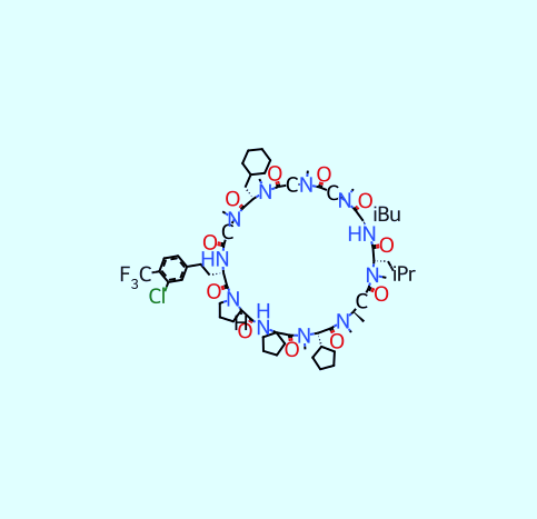 CC[C@H](C)[C@@H]1NC(=O)[C@H](CC(C)C)N(C)C(=O)C[C@@H](C)N(C)C(=O)[C@H](C2CCCC2)N(C)C(=O)C2(CCCC2)NC(=O)[C@@H]2CCCN2C(=O)[C@H](CCc2ccc(C(F)(F)F)c(Cl)c2)NC(=O)CN(C)C(=O)[C@H](CC2CCCCC2)N(C)C(=O)CN(C)C(=O)CN(C)C1=O